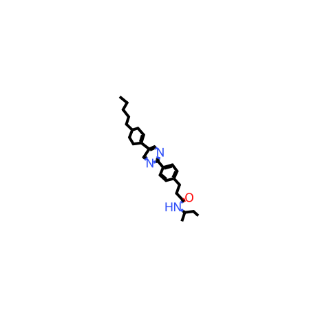 CCCCCC1CC=C(c2cnc(-c3ccc(CCC(=O)NC(C)CC)cc3)nc2)CC1